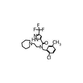 Cc1ccc(Cl)c(CN(CCN2CCCCCC2)C(=O)c2cc(C(F)(F)F)n[nH]2)c1